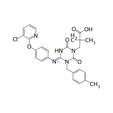 Cc1ccc(Cn2c(=O)n(CC(C)(C)C(=O)O)c(=O)[nH]/c2=N\c2ccc(Oc3ncccc3Cl)cc2)cc1